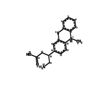 C[SH]1c2ccccc2Sc2cc(C(CN)CC(=O)O)ccc21